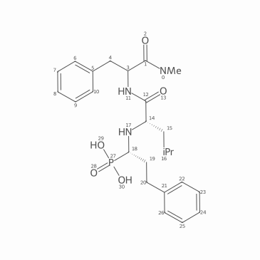 CNC(=O)C(Cc1ccccc1)NC(=O)[C@H](CC(C)C)N[C@H](CCc1ccccc1)P(=O)(O)O